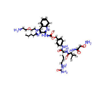 CCCCc1nc2c(NC(=O)OCc3ccc(NC(=O)[C@@H](CCCNC(N)=O)NC(=O)[C@H](NC(=O)CON)C(C)C)cc3)nc3ccccc3c2n1CCOCCN